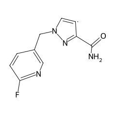 NC(=O)c1[c]cn(Cc2ccc(F)nc2)n1